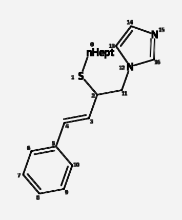 CCCCCCCSC(C=Cc1ccccc1)Cn1ccnc1